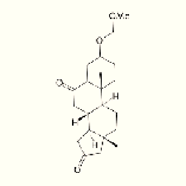 COCOC1CC[C@@]2(C)C(C1)C(=O)C[C@H]1[C@@H]3CC(=O)C[C@@]3(C)CC[C@@H]12